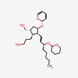 CCCCC[C@@H](C=C[C@H]1[C@@H](CCCO)[C@H](CO)C[C@H]1O[C@H]1C=CC=CO1)OC1CCCCO1